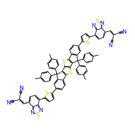 Cc1ccc(C2(c3ccc(C)cc3)c3cc(-c4ccc(-c5ccc(C=C(C#N)C#N)c6nsnc56)s4)ccc3-c3sc4c5c(sc4c32)-c2ccc(-c3ccc(-c4ccc(C=C(C#N)C#N)c6nsnc46)s3)cc2C5(c2ccc(C)cc2)c2ccc(C)cc2)cc1